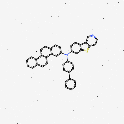 c1ccc(-c2ccc(N(c3ccc4c(c3)sc3ccncc34)c3ccc4ccc5c6ccccc6ccc5c4c3)cc2)cc1